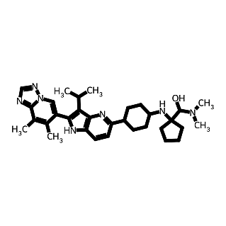 Cc1c(-c2[nH]c3ccc(C4CCC(NC5(C(O)N(C)C)CCCC5)CC4)nc3c2C(C)C)cn2ncnc2c1C